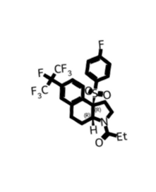 CCC(=O)N1CC[C@@]2(S(=O)(=O)c3ccc(F)cc3)c3ccc(C(F)(C(F)(F)F)C(F)(F)F)cc3CC[C@@H]12